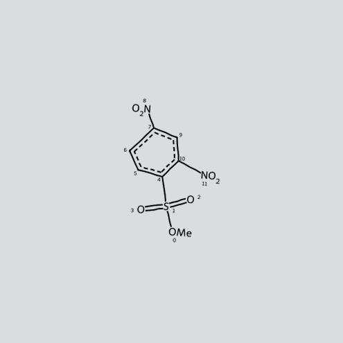 COS(=O)(=O)c1ccc([N+](=O)[O-])cc1[N+](=O)[O-]